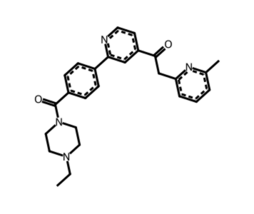 CCN1CCN(C(=O)c2ccc(-c3cc(C(=O)Cc4cccc(C)n4)ccn3)cc2)CC1